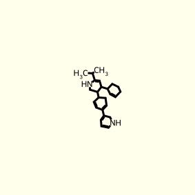 CC(C)C1=CC(C2C=CCCC2)C(C2C=CC(C3=CC=CNC3)=CC2)CN1